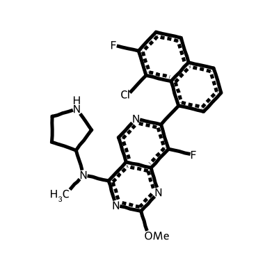 COc1nc(N(C)C2CCNC2)c2cnc(-c3cccc4ccc(F)c(Cl)c34)c(F)c2n1